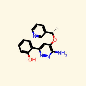 C[C@H](Oc1cc(-c2ccccc2O)nnc1N)c1cccnc1